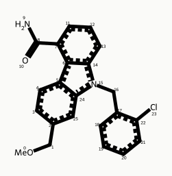 COCc1c[c]c2c3c(C(N)=O)cccc3n(Cc3ccccc3Cl)c2c1